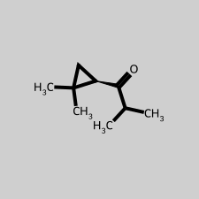 CC(C)C(=O)[C@@H]1CC1(C)C